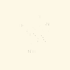 CCc1nn(-c2ccncc2)c(Nc2ccc(Cl)cc2C(=O)O)c1-c1cccnc1